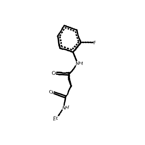 CCNC(=O)CC(=O)Nc1ccccc1F